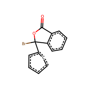 O=C1OC(Br)(c2ccccc2)c2ccccc21